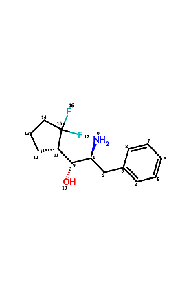 N[C@@H](Cc1ccccc1)[C@H](O)[C@@H]1CCCC1(F)F